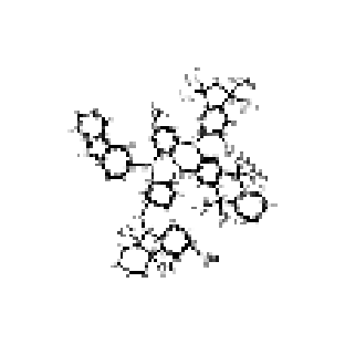 Cc1cc2c3c(c1)N(c1cc4c(cc1C)C(C)(C)CC4(C)C)c1cc4c(cc1B3c1ccc(CC3c5ccc(C(C)(C)C)cc5C5(C)CCCCC35C)cc1N2c1ccc2sc3ccccc3c2c1)C(C)(C)c1ccccc1C4(C)C